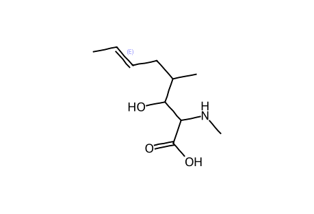 C/C=C/CC(C)C(O)C(NC)C(=O)O